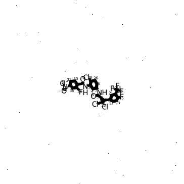 O=C(Nc1cc(NC(=O)C2C(c3ccc(F)c(C(F)(F)F)c3)C2(Cl)Cl)ccc1Cl)c1ccc([N+](=O)[O-])cc1F